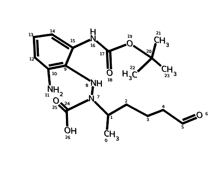 CC(CCCC=O)N(Nc1c(N)cccc1NC(=O)OC(C)(C)C)C(=O)O